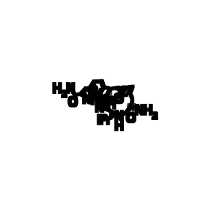 CC(C)[C@@H]1NC(=O)[C@@H](N)Cc2ccc3c(c2)C2(c4ccccc4N[C@H]2O3)c2oc1nc2-c1nc(C(N)=O)co1